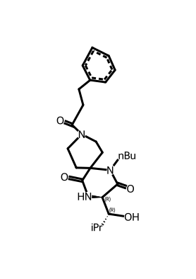 CCCCN1C(=O)[C@@H]([C@H](O)C(C)C)NC(=O)C12CCN(C(=O)CCc1ccccc1)CC2